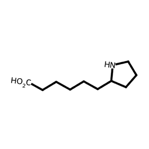 O=C(O)CCCCCC1CCCN1